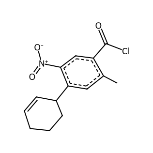 Cc1cc(C2C=CCCC2)c([N+](=O)[O-])cc1C(=O)Cl